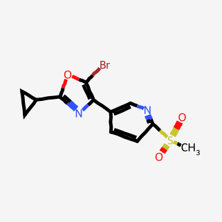 CS(=O)(=O)c1ccc(-c2nc(C3CC3)oc2Br)cn1